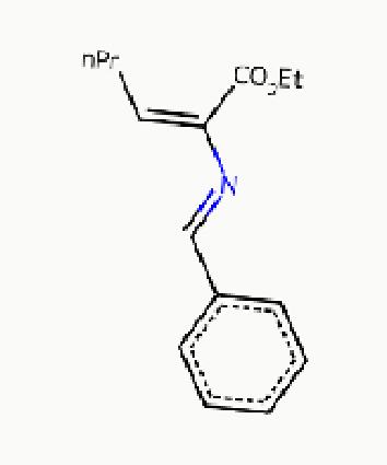 CCCC=C(N=Cc1ccccc1)C(=O)OCC